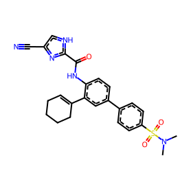 CN(C)S(=O)(=O)c1ccc(-c2ccc(NC(=O)c3nc(C#N)c[nH]3)c(C3=CCCCC3)c2)cc1